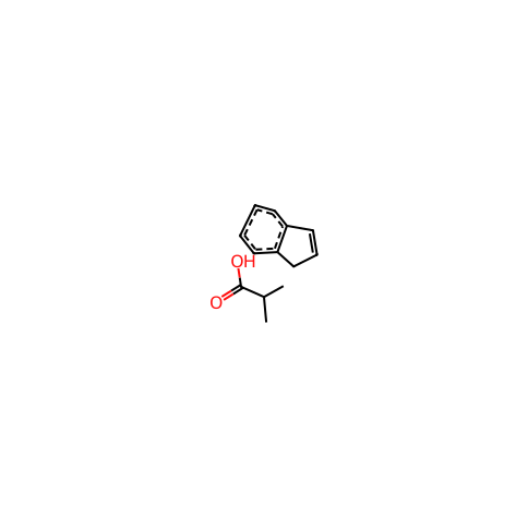 C1=Cc2ccccc2C1.CC(C)C(=O)O